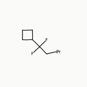 CC(C)CC(F)(F)C1CCC1